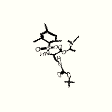 Cc1cc(C)c(S(=O)(=O)NC(CNC(=O)OC(C)(C)C)C(=O)OC(C)N(C)C)c(C)c1